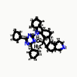 CC1(C)c2ccc3cnccc3c2-c2ccc3c4ccccc4n(-c4nc(-c5ccccc5)nc(-c5ccccc5)n4)c3c21